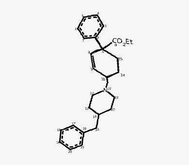 CCOC(=O)C1(c2ccccc2)C=CC(N2CCC(Cc3ccccc3)CC2)CC1